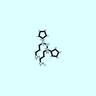 CCCC[SiH](O[SiH](CCCC)C1CCCC1)C1CCCC1